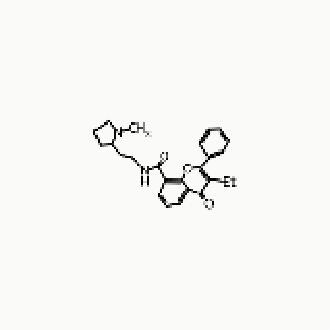 CCc1c(-c2ccccc2)oc2c(C(=O)NCCC3CCCN3C)cccc2c1=O